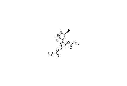 CC(=O)OC[C@@H]1C[C@@H](OC(C)=O)[C@H](n2cc(C#N)c(=O)[nH]c2=O)O1